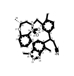 Cc1ccc(C(CC#N)c2ccc3c(nnn3C)c2C)cc1CN1C[C@@H](C)Oc2ccccc2S1(=O)=O